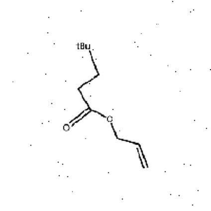 C=CCOC(=O)CCC(C)(C)C